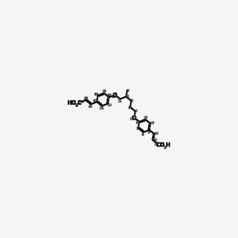 CC(CCCOc1ccc(C=CC(=O)O)cc1)COc1ccc(C=CC(=O)O)cc1